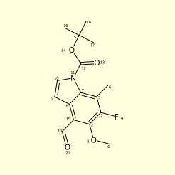 COc1c(F)c(C)c2c(ccn2C(=O)OC(C)(C)C)c1C=O